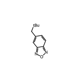 CC(C)(C)Cc1ccc2nonc2c1